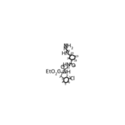 CCOC(=O)C(Cc1cccc(Cl)c1)NC(=O)CNC(=O)c1cccc(NC=NN)c1